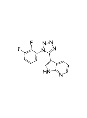 Fc1cccc(-n2nnnc2-c2c[nH]c3ncccc23)c1F